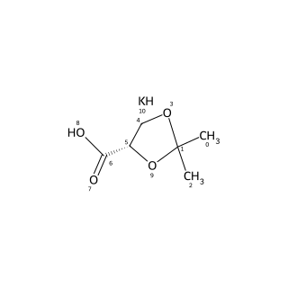 CC1(C)OC[C@@H](C(=O)O)O1.[KH]